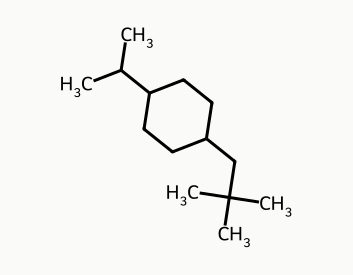 CC(C)C1CCC(CC(C)(C)C)CC1